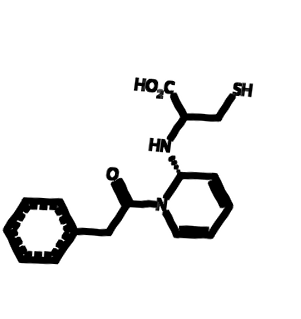 O=C(O)C(CS)N[C@@H]1C=CC=CN1C(=O)Cc1ccccc1